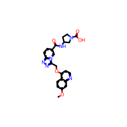 COc1ccc2c(OCc3nnc4ccc(C(=O)NC5CCN(C(=O)O)C5)cn34)ccnc2c1